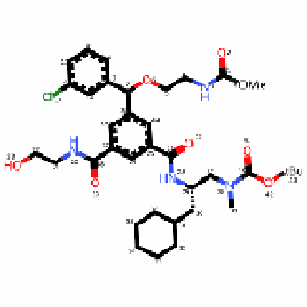 COC(=O)NCCOC(c1cccc(Cl)c1)c1cc(C(=O)NCCO)cc(C(=O)N[C@@H](CC2CCCCC2)CN(C)C(=O)OC(C)(C)C)c1